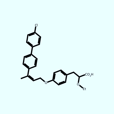 CCOC(Cc1ccc(OCC=C(C)c2ccc(-c3ccc(Cl)cc3)cc2)cc1)C(=O)O